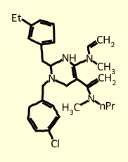 C=CN(C)C1=C(C(=C)N(C)CCC)CN(CC2=CC=C(Cl)C=CC2)C(Cc2cccc(CC)c2)N1